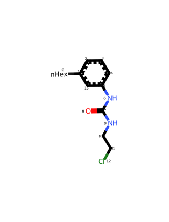 CCCCCCc1cccc(NC(=O)NCCCl)c1